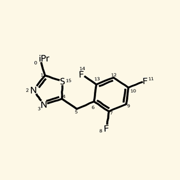 CC(C)c1nnc(Cc2c(F)cc(F)cc2F)s1